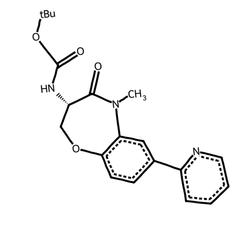 CN1C(=O)[C@@H](NC(=O)OC(C)(C)C)COc2ccc(-c3ccccn3)cc21